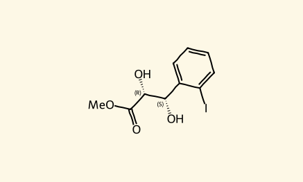 COC(=O)[C@H](O)[C@@H](O)c1ccccc1I